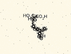 Cc1c(NS(C)(=O)=O)cccc1N(Cc1ccccc1)Cc1ccc(Oc2ccc(CCCC(=O)N[C@@H](CCC(=O)O)C(=O)O)cc2)cc1